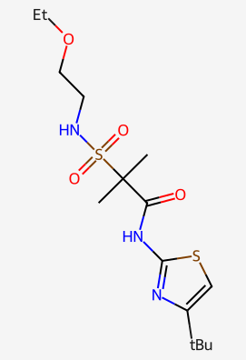 CCOCCNS(=O)(=O)C(C)(C)C(=O)Nc1nc(C(C)(C)C)cs1